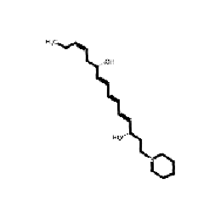 CC/C=C\C[C@H](O)/C=C/C=C/C=C/[C@@H](O)CCN1CCCCC1